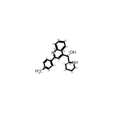 Cc1ccc(-c2cc([C@H](O)[C@@H]3CCCCN3)c3ccccc3n2)cc1